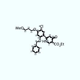 CCOC(=O)c1c[nH]c(-c2cc(Cl)c(OCCCOC)cc2OCc2ccccc2)cc1=O